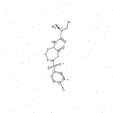 CC(C)C[C@H](N)C(=O)NC1CCCN(S(=O)(=O)c2ccc(F)cc2)CC1=O